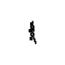 CCCCCC[C@]1(C#N)CC[C@H](C(=O)Oc2ccc(OCC)cc2)CC1